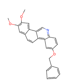 COc1cc2ccc3c4cc(OCc5ccccc5)ccc4ncc3c2cc1OC